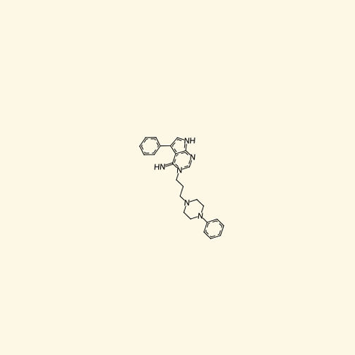 N=c1c2c(-c3ccccc3)c[nH]c2ncn1CCCN1CCN(c2ccccc2)CC1